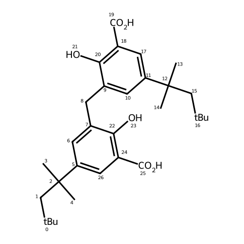 CC(C)(C)CC(C)(C)c1cc(Cc2cc(C(C)(C)CC(C)(C)C)cc(C(=O)O)c2O)c(O)c(C(=O)O)c1